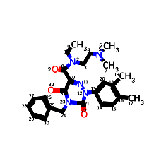 CCN(CCN(C)C)C(=O)c1nn(-c2ccc(C)c(C)c2)c(=O)n(Cc2ccccc2)c1=O